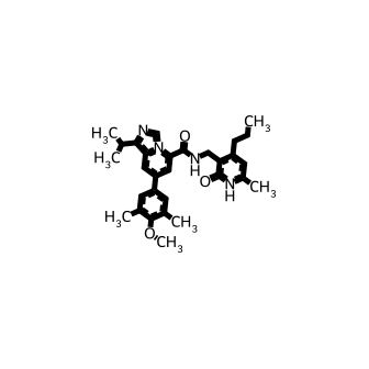 CCCc1cc(C)[nH]c(=O)c1CNC(=O)c1cc(-c2cc(C)c(OC)c(C)c2)cc2c(C(C)C)ncn12